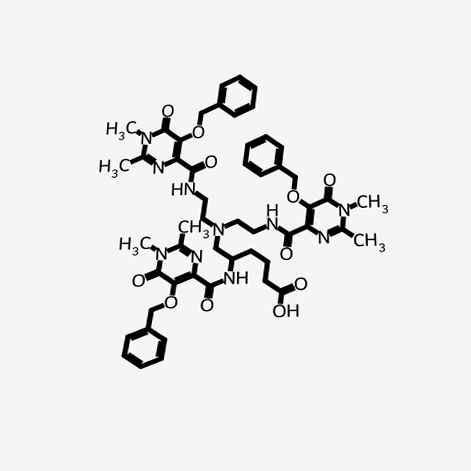 Cc1nc(C(=O)NCCN(CCNC(=O)c2nc(C)n(C)c(=O)c2OCc2ccccc2)CC(CCCC(=O)O)NC(=O)c2nc(C)n(C)c(=O)c2OCc2ccccc2)c(OCc2ccccc2)c(=O)n1C